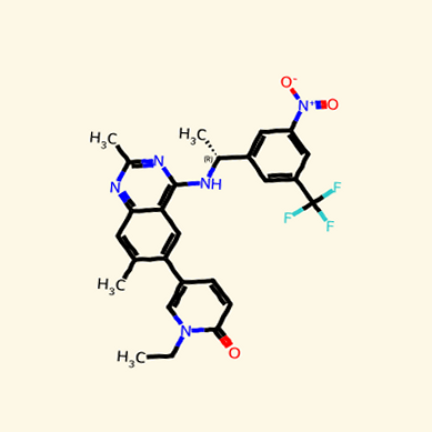 CCn1cc(-c2cc3c(N[C@H](C)c4cc([N+](=O)[O-])cc(C(F)(F)F)c4)nc(C)nc3cc2C)ccc1=O